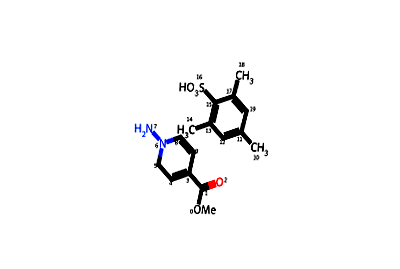 COC(=O)C1=CCN(N)C=C1.Cc1cc(C)c(S(=O)(=O)O)c(C)c1